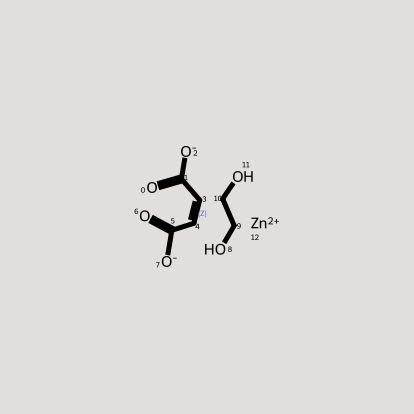 O=C([O-])/C=C\C(=O)[O-].OCCO.[Zn+2]